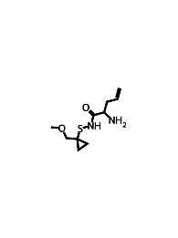 C=CCC(N)C(=O)NSC1(COC)CC1